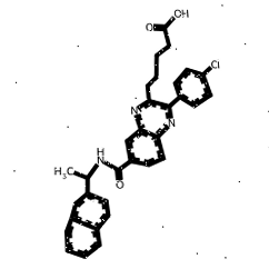 CC(NC(=O)c1ccc2nc(-c3ccc(Cl)cc3)c(CCCCC(=O)O)nc2c1)c1ccc2ccccc2c1